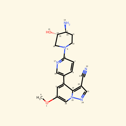 COc1cc(-c2ccc(N3CC[C@H](N)[C@@H](O)C3)nc2)c2c(C#N)cnn2c1